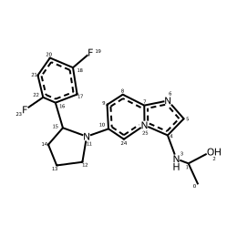 CC(O)Nc1cnc2ccc(N3CCCC3c3cc(F)ccc3F)cn12